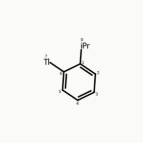 CC(C)c1cccc[c]1[Tl]